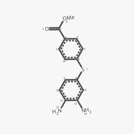 COC(=O)c1ccc(Sc2ccc(N)c(N)c2)cc1